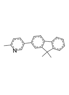 Cc1ccc(-c2ccc3c(c2)C(C)(C)c2ccccc2-3)cn1